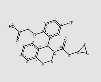 O=C(O)COc1ccc(Cl)cc1C1c2ccccc2CCN1C(=O)CC1CC1